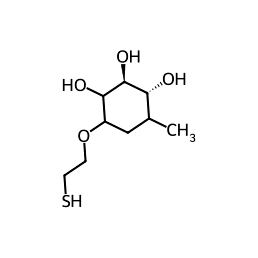 CC1CC(OCCS)C(O)[C@@H](O)[C@@H]1O